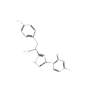 NC(Cc1ccc(O)cc1)c1nc(-c2ccc(Cl)cc2Cl)c[nH]1